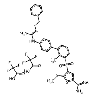 CSc1sc(C(=N)N)cc1S(=O)(=O)c1cccc(-c2ccc(NC(N)=NCCc3ccccc3)cc2)c1C.O=C(O)C(F)(F)F.O=C(O)C(F)(F)F